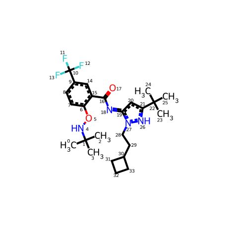 CC(C)(C)NOc1ccc(C(F)(F)F)cc1C(=O)N=c1cc(C(C)(C)C)[nH]n1CCC1CCC1